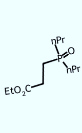 CCCP(=O)(CCC)CCC(=O)OCC